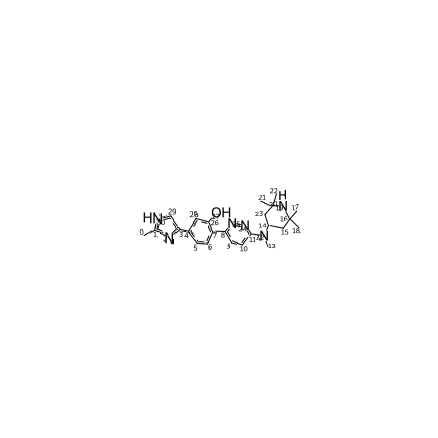 Cc1nc(-c2ccc(-c3ccc(N(C)C4CC(C)(C)NC(C)(C)C4)nn3)c(O)c2)c[nH]1